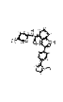 CN1CCN=C1c1ccc(C(=O)Nc2c(O)cccc2C(=O)Nc2ccc(Cl)cn2)cc1